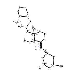 C[C@H](CN1CCOC[C@H]1C)[C@H]1CC[C@H]2/C(=C/C=C3C[C@@H](O)C[C@H](O)C3)CCC[C@]12C